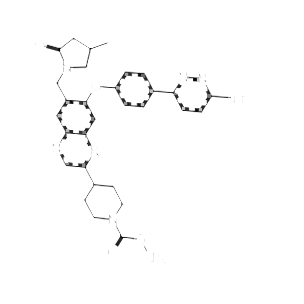 CC1CC(=O)N(Cc2cc3ncc(C4CCN(C(=O)OC(C)(C)C)CC4)nc3cc2Oc2ccc(-c3ccc(C(C)C)nn3)cc2)C1